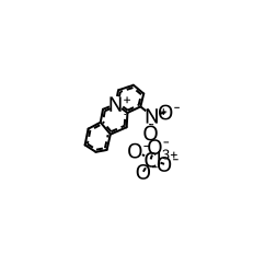 O=[N+]([O-])c1ccc[n+]2cc3ccccc3cc12.[O-][Cl+3]([O-])([O-])[O-]